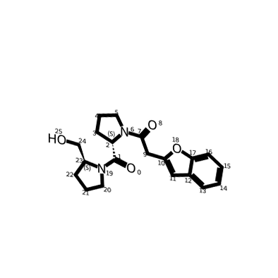 O=C([C@@H]1CCCN1C(=O)Cc1cc2ccccc2o1)N1CCC[C@H]1CO